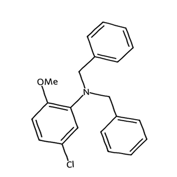 COc1ccc(Cl)cc1N(Cc1ccccc1)Cc1ccccc1